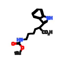 CC(C)(C)OC(=O)NCCCCC(C(=O)O)c1c[nH]c2ccccc12